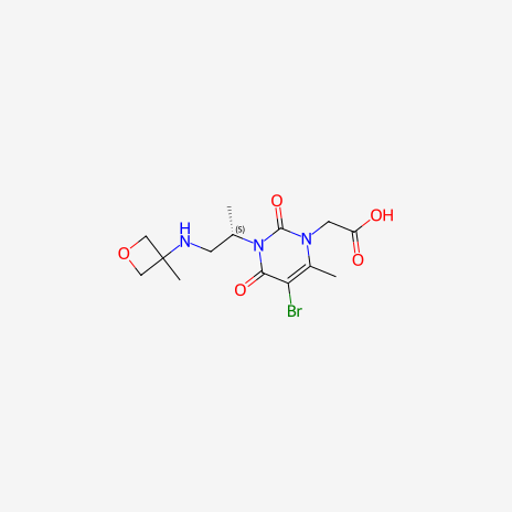 Cc1c(Br)c(=O)n([C@@H](C)CNC2(C)COC2)c(=O)n1CC(=O)O